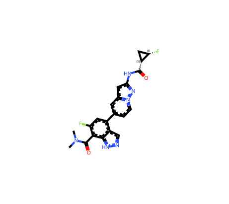 CN(C)C(=O)c1c(F)cc(-c2ccn3nc(NC(=O)[C@@H]4C[C@@H]4F)cc3c2)c2cn[nH]c12